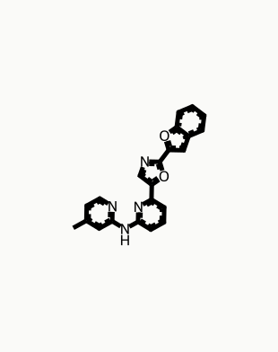 Cc1ccnc(Nc2cccc(-c3cnc(-c4cc5ccccc5o4)o3)n2)c1